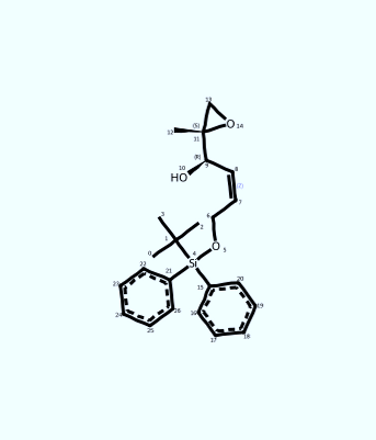 CC(C)(C)[Si](OC/C=C\[C@@H](O)[C@]1(C)CO1)(c1ccccc1)c1ccccc1